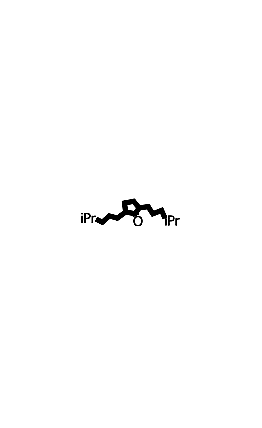 CC(C)CCCC1CCC(CCCC(C)C)C1=O